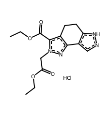 CCOC(=O)Cn1nc2c(c1C(=O)OCC)CCc1[nH]ncc1-2.Cl